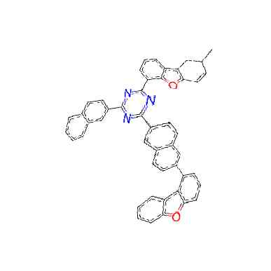 CC1C=Cc2oc3c(-c4nc(-c5ccc6ccccc6c5)nc(-c5ccc6cc(-c7cccc8oc9ccccc9c78)ccc6c5)n4)cccc3c2C1